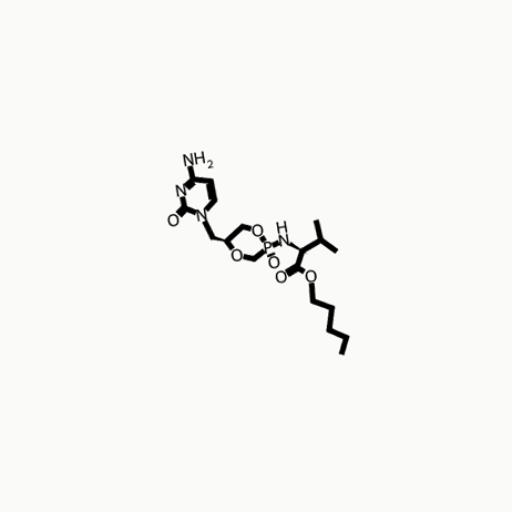 CCCCCOC(=O)[C@@H](NP1(=O)CO[C@@H](Cn2ccc(N)nc2=O)CO1)C(C)C